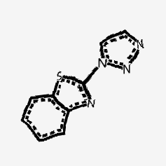 c1ccc2sc(-n3ccnn3)nc2c1